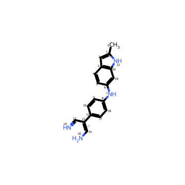 Cc1cc2ccc(Nc3ccc(/C(C=N)=C/N)cc3)cc2[nH]1